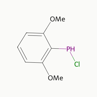 COc1cccc(OC)c1PCl